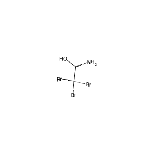 NC(O)C(Br)(Br)Br